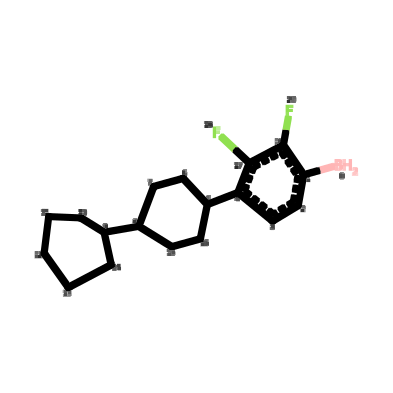 Bc1ccc(C2CCC(C3CCCCC3)CC2)c(F)c1F